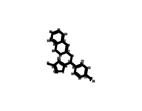 CC1=NCC(C(CC2=Cc3cccnc3CC2)c2ccc(F)cn2)=N1